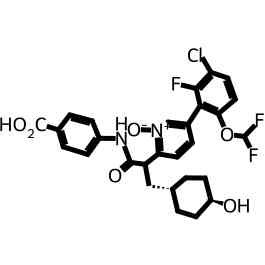 O=C(O)c1ccc(NC(=O)C(C[C@H]2CC[C@H](O)CC2)c2ccc(-c3c(OC(F)F)ccc(Cl)c3F)c[n+]2[O-])cc1